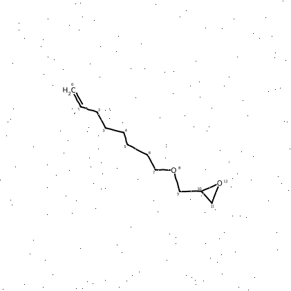 C=CCCCCCCOCC1CO1